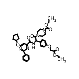 CCOC(=O)COc1ccc(C(NC(=O)c2cc(OC3CCCC3)nc(-c3ccccc3)n2)C(=O)N2CCN(C(=O)OCC)CC2)cc1